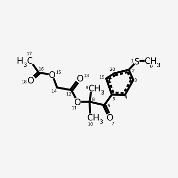 CSc1ccc(C(=O)C(C)(C)OC(=O)COC(C)=O)cc1